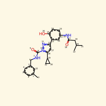 Cc1cccc(CNC(=O)n2nc(-c3cc(NC(=O)CC(C)C)ccc3O)cc2C2CC2)c1